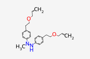 C=CCOCCc1ccc(NN(C)c2ccc(CCOCC=C)cc2)cc1